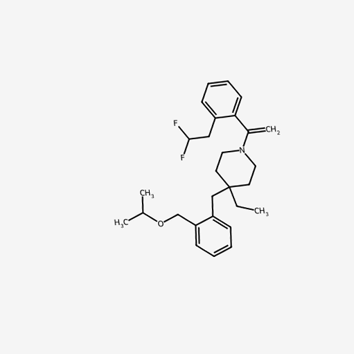 C=C(c1ccccc1CC(F)F)N1CCC(CC)(Cc2ccccc2COC(C)C)CC1